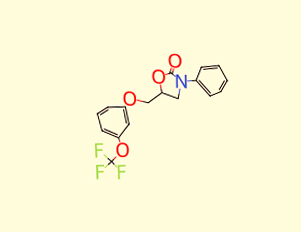 O=C1OC(COc2cccc(OC(F)(F)F)c2)CN1c1ccccc1